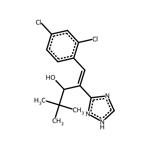 CC(C)(C)C(O)C(=Cc1ccc(Cl)cc1Cl)c1nc[nH]n1